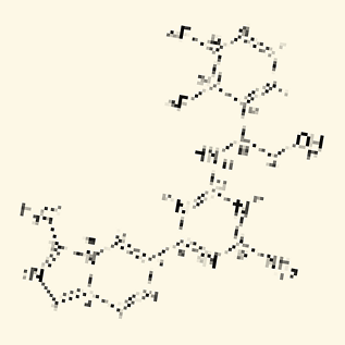 Cc1ncc2ccc(-c3nc(N)nc(NC(CO)c4cccc(F)c4F)n3)cn12